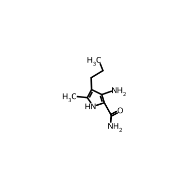 CCCc1c(C)[nH]c(C(N)=O)c1N